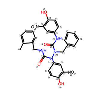 Cc1ccccc1CNC(=O)N(c1ccc(O)c([N+](=O)[O-])c1)N(Cc1ccccc1)C(=O)Nc1ccc(O)c([N+](=O)[O-])c1